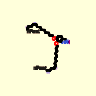 CCCCC/C=C\C/C=C\CCCCCCCCOc1ccc(CNI)cc1OCCCCCCCC/C=C\C/C=C\CCCCC